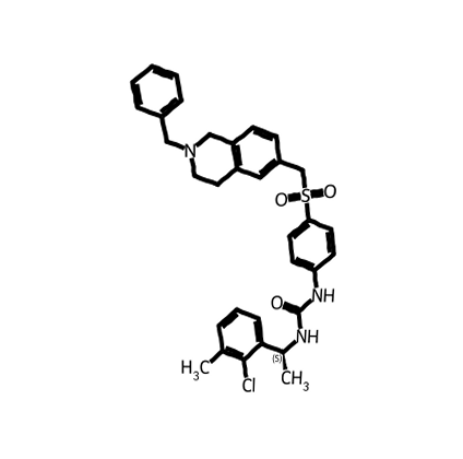 Cc1cccc([C@H](C)NC(=O)Nc2ccc(S(=O)(=O)Cc3ccc4c(c3)CCN(Cc3ccccc3)C4)cc2)c1Cl